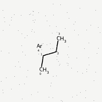 CCCC.[Ar]